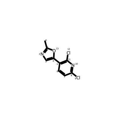 Cc1ncc(-c2ccc(Cl)nc2Cl)o1